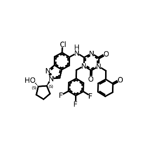 O=C1CC=CC=C1Cn1c(=O)nc(Nc2cc3cn([C@H]4CCC[C@@H]4O)nc3cc2Cl)n(Cc2cc(F)c(F)c(F)c2)c1=O